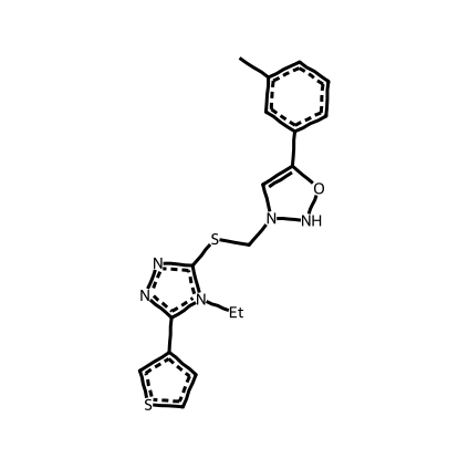 CCn1c(SCN2C=C(c3cccc(C)c3)ON2)nnc1-c1ccsc1